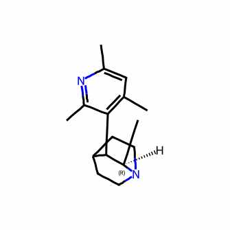 Cc1cc(C)c(C2C3CCN(CC3)[C@@H]2C)c(C)n1